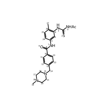 CC(=O)NC(=S)Nc1cc(NC(=O)c2ccc(CN3CCN(C)CC3)cc2)ccc1C